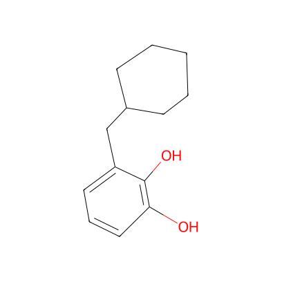 Oc1cccc(CC2CCCCC2)c1O